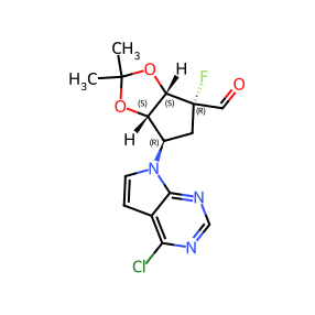 CC1(C)O[C@H]2[C@H](n3ccc4c(Cl)ncnc43)C[C@](F)(C=O)[C@H]2O1